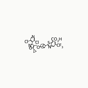 O=C(O)c1cc(C(F)(F)F)cc2nc(C34CCC(OCc5c(-c6c(Cl)cncc6Cl)noc5C5CC5)(CC3)CC4)sc12